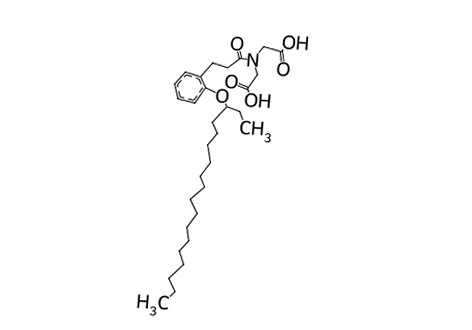 CCCCCCCCCCCCCCCC(CC)Oc1ccccc1CCC(=O)N(CC(=O)O)CC(=O)O